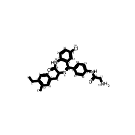 CCc1ccc(CC2N=C(c3ccc(NC(=O)CN)cc3)c3cc(Cl)ccc3NC2=O)cc1C